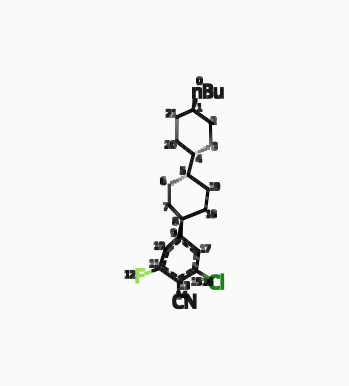 CCCC[C@H]1CC[C@H]([C@H]2CC[C@H](c3cc(F)c(C#N)c(Cl)c3)CC2)CC1